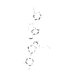 NCCn1cc(C(=O)c2ccn3c2CSC3c2ccc[n+]([O-])c2)c2ccc(-c3ccc(F)cc3)cc21